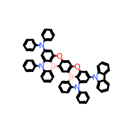 c1ccc(N(c2ccccc2)c2cc3c4c(c2)N(c2ccccc2)c2ccccc2B4c2cc4c(cc2O3)Oc2cc(-n3c5ccccc5c5ccccc53)cc3c2B4c2ccccc2N3c2ccccc2)cc1